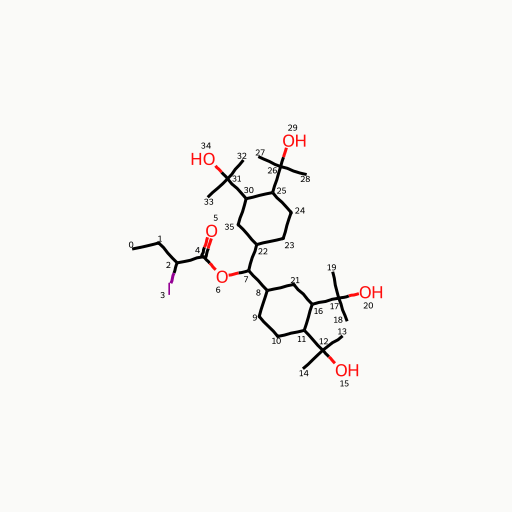 CCC(I)C(=O)OC(C1CCC(C(C)(C)O)C(C(C)(C)O)C1)C1CCC(C(C)(C)O)C(C(C)(C)O)C1